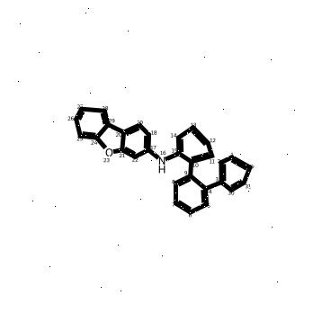 c1ccc(-c2ccccc2-c2ccccc2Nc2ccc3c(c2)oc2ccccc23)cc1